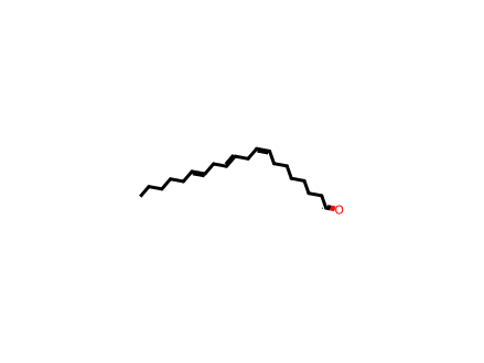 CCCCCC=CCC=CC/C=C\CCCCCC[C]=O